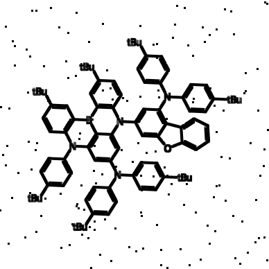 CC(C)(C)c1ccc(N(c2ccc(C(C)(C)C)cc2)c2cc3c4c(c2)N(c2cc(N(c5ccc(C(C)(C)C)cc5)c5ccc(C(C)(C)C)cc5)c5c(c2)oc2ccccc25)c2ccc(C(C)(C)C)cc2B4c2cc(C(C)(C)C)ccc2N3c2ccc(C(C)(C)C)cc2)cc1